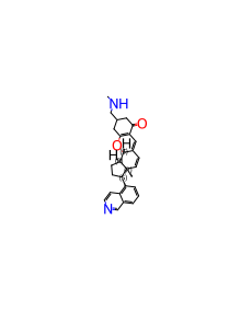 CNCC1CC(=O)C2=C(C1)O[C@@H]1C(=C2)C=C[C@]2(C)[C@@H](c3cccc4cnccc34)CC[C@@H]12